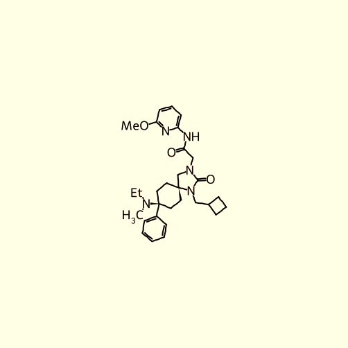 CCN(C)[C@]1(c2ccccc2)CC[C@@]2(CC1)CN(CC(=O)Nc1cccc(OC)n1)C(=O)N2CC1CCC1